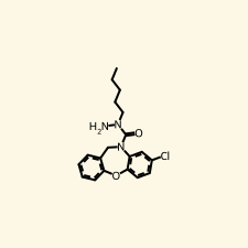 CCCCCN(N)C(=O)N1Cc2ccccc2Oc2ccc(Cl)cc21